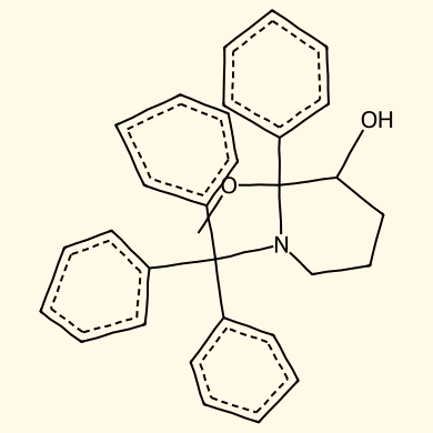 COC1(c2ccccc2)C(O)CCCN1C(c1ccccc1)(c1ccccc1)c1ccccc1